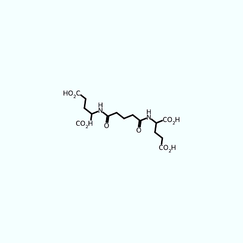 O=C(O)CCC(NC(=O)CCCC(=O)NC(CCC(=O)O)C(=O)O)C(=O)O